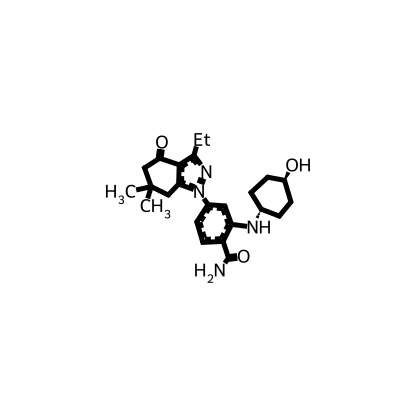 CCc1nn(-c2ccc(C(N)=O)c(N[C@H]3CC[C@H](O)CC3)c2)c2c1C(=O)CC(C)(C)C2